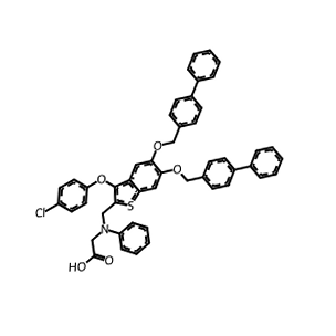 O=C(O)CN(Cc1sc2cc(OCc3ccc(-c4ccccc4)cc3)c(OCc3ccc(-c4ccccc4)cc3)cc2c1Oc1ccc(Cl)cc1)c1ccccc1